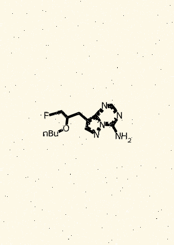 CCCCOC(CF)Cc1cnn2c(N)ncnc12